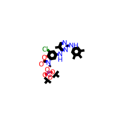 Cc1cnc(Nc2cc(C)c(C)c(C)c2)nc1Nc1cc(Cl)c2oc(=O)n(COP(=O)(OC(C)(C)C)OC(C)(C)C)c2c1